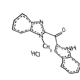 Cl.Cn1c(C(=O)c2cc3ccccc3[nH]2)nc2ccccc21